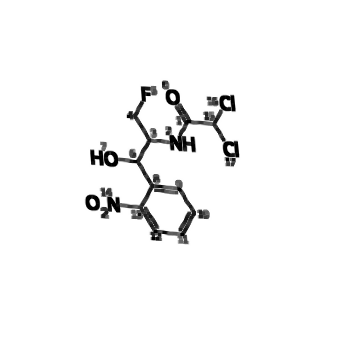 O=C(NC(CF)C(O)c1ccccc1[N+](=O)[O-])C(Cl)Cl